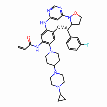 C=CC(=O)Nc1cc(Nc2cc(N3OCCC3Cc3cccc(F)c3)ncn2)c(OC)cc1N1CCC(N2CCN(C3CC3)CC2)CC1